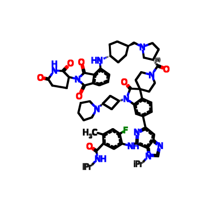 Cc1cc(F)c(Nc2nc(-c3ccc4c(c3)N([C@H]3C[C@@H](N5CCCCC5)C3)C(=O)C43CCN(C(=O)[C@H]4CCN(C[C@H]5CC[C@H](Nc6cccc7c6C(=O)N(C6CCC(=O)NC6=O)C7=O)CC5)C4)CC3)cc3ncn(C(C)C)c23)cc1C(=O)NC(C)C